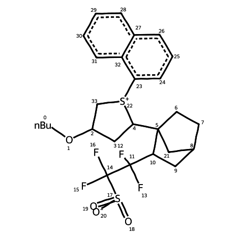 CCCCOC1CC(C23CCC(CC2C(F)(F)C(F)(F)S(=O)(=O)[O-])C3)[S+](c2cccc3ccccc23)C1